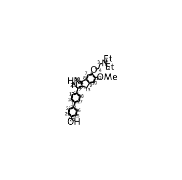 CCN(CC)CCOc1cc2c(cc1OC)Cc1c(-c3ccc(-c4ccc(O)cc4)cc3)n[nH]c1-2